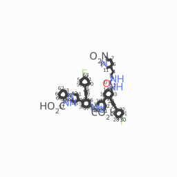 O=C(NCCc1ccc([N+](=O)[O-])nc1)Nc1ccc(-c2ccncc2)c(C#Cc2ccc(F)cc2)c1.O=C(O)Nc1ccc(-c2ccncc2)c(C#Cc2ccc(F)cc2)c1.O=C(O)Nc1ccccc1